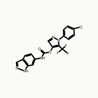 O=C(Nc1ccc2cn[nH]c2c1)Oc1cnn(-c2ccc(Cl)cc2)c1C(F)(F)F